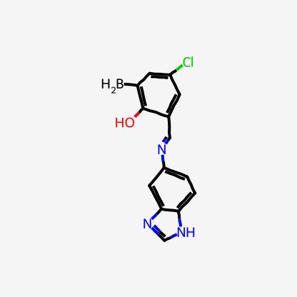 Bc1cc(Cl)cc(/C=N/c2ccc3[nH]cnc3c2)c1O